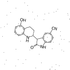 N#Cc1ccc2c(c1)C(C1CCc3c(O)cccc3N1)C(=O)N2